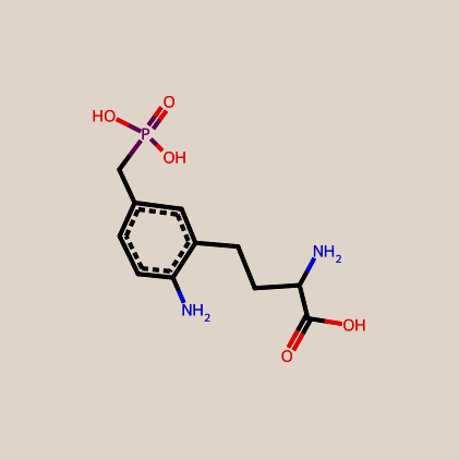 Nc1ccc(CP(=O)(O)O)cc1CCC(N)C(=O)O